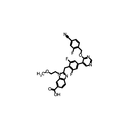 COCCn1c(Cc2c(F)cc(-c3cncnc3OCc3ccc(C#N)cc3F)cc2F)nc2ccc(C(=O)O)cc21